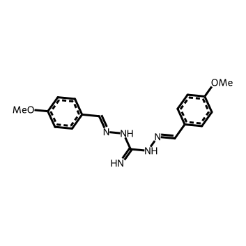 COc1ccc(/C=N/NC(=N)N/N=C/c2ccc(OC)cc2)cc1